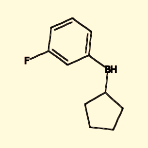 Fc1cccc(BC2CCCC2)c1